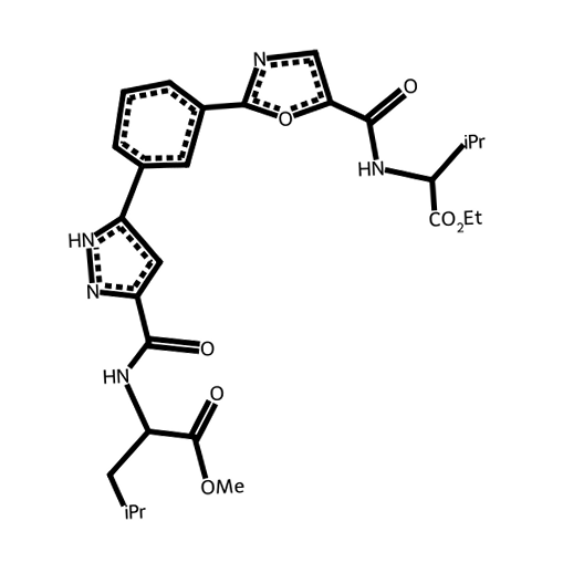 CCOC(=O)C(NC(=O)c1cnc(-c2cccc(-c3cc(C(=O)NC(CC(C)C)C(=O)OC)n[nH]3)c2)o1)C(C)C